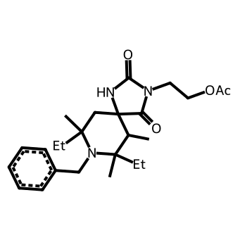 CCC1(C)CC2(NC(=O)N(CCOC(C)=O)C2=O)C(C)C(C)(CC)N1Cc1ccccc1